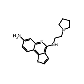 Nc1ccc2c(c1)nc(NCCN1CCCC1)c1ccsc12